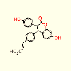 O=C(O)/C=C/c1ccc(C2c3ccc(O)cc3OC(=O)C2c2ccc(O)cc2)cc1